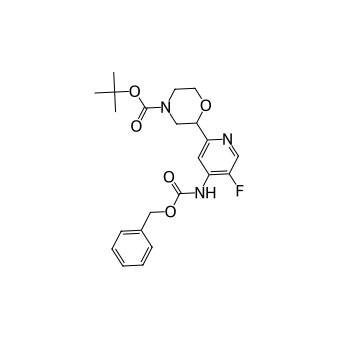 CC(C)(C)OC(=O)N1CCOC(c2cc(NC(=O)OCc3ccccc3)c(F)cn2)C1